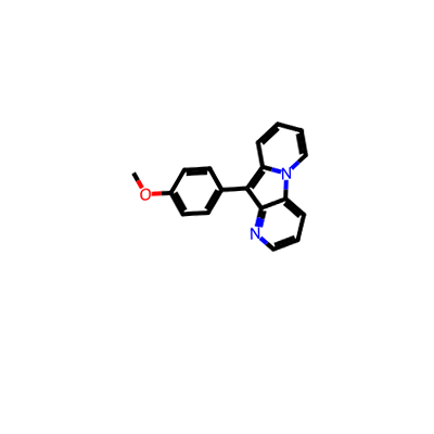 COc1ccc(-c2c3ncccc3n3ccccc23)cc1